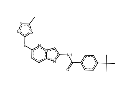 Cc1nnc(Sc2ccc3nc(NC(=O)c4ccc(C(C)(C)C)cc4)cn3n2)s1